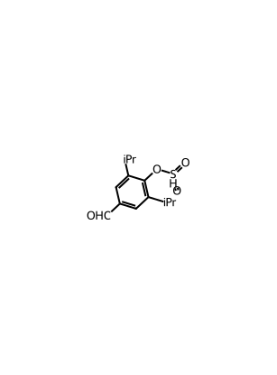 CC(C)c1cc(C=O)cc(C(C)C)c1O[SH](=O)=O